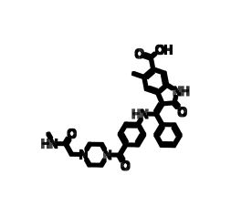 CNC(=O)CN1CCN(C(=O)c2ccc(N/C(=C3/C(=O)Nc4cc(C(=O)O)c(C)cc43)c3ccccc3)cc2)CC1